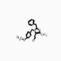 [CH2]c1nc(Cc2ccccc2)n(Cc2ccc(OC)cc2)c1CC=O